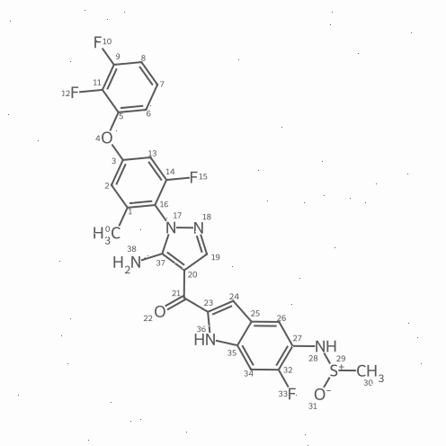 Cc1cc(Oc2cccc(F)c2F)cc(F)c1-n1ncc(C(=O)c2cc3cc(N[S+](C)[O-])c(F)cc3[nH]2)c1N